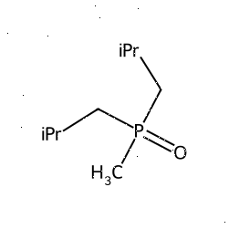 CC(C)CP(C)(=O)CC(C)C